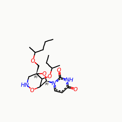 CCCC(C)OC[C@]12CNOC(C1OC(C)CC)[C@H](n1ccc(=O)[nH]c1=O)O2